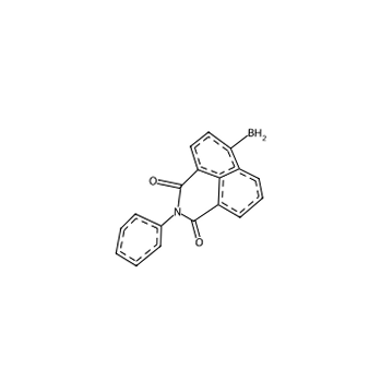 Bc1ccc2c3c(cccc13)C(=O)N(c1ccccc1)C2=O